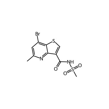 Cc1cc(Br)c2scc(C(=O)NS(C)(=O)=O)c2n1